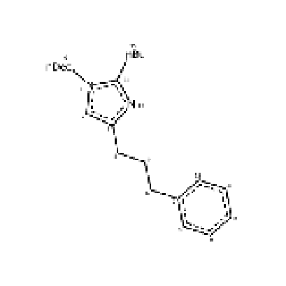 CCCCCCCCCCn1cc(CCCc2ccccc2)nc1CCCC